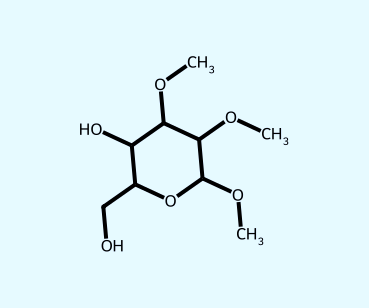 COC1OC(CO)C(O)C(OC)C1OC